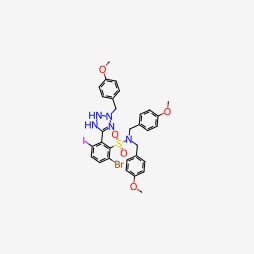 COc1ccc(CN2N=C(c3c(I)ccc(Br)c3S(=O)(=O)N(Cc3ccc(OC)cc3)Cc3ccc(OC)cc3)NN2)cc1